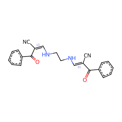 N#C/C(=C/NCCN/C=C(\C#N)C(=O)c1ccccc1)C(=O)c1ccccc1